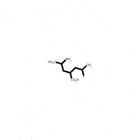 CC(F)CC(CC(N)C(=O)O)C(=O)O